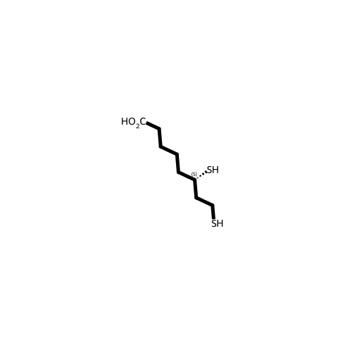 O=C(O)CCCC[C@H](S)CCS